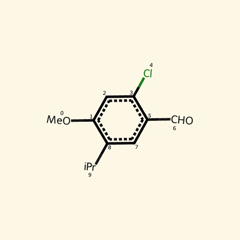 COc1cc(Cl)c(C=O)cc1C(C)C